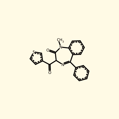 CN1C(=O)C(C(=O)c2ccsc2)N=C(c2ccccc2)c2ccccc21